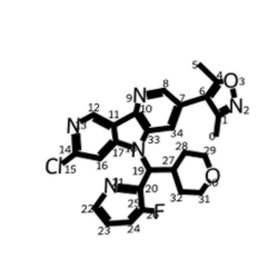 Cc1noc(C)c1-c1cnc2c3cnc(Cl)cc3n(C(c3ncccc3F)C3CCOCC3)c2c1